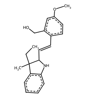 CCC1(C)c2ccccc2NC1C=Cc1ccc(OC)cc1CO